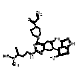 C=CC(=O)N1CCN(c2nc(NCCC(=O)N(C)C)nc3c2CN(C)C(c2c(C)ccc4[nH]ncc24)C3)CC1